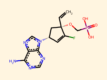 C=C[C@]1(OCP(=O)(O)O)C[C@@H](n2cnc3c(N)ncnc32)C=C1F